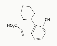 C=CC(=O)O.N#Cc1ccccc1C1CCCCC1